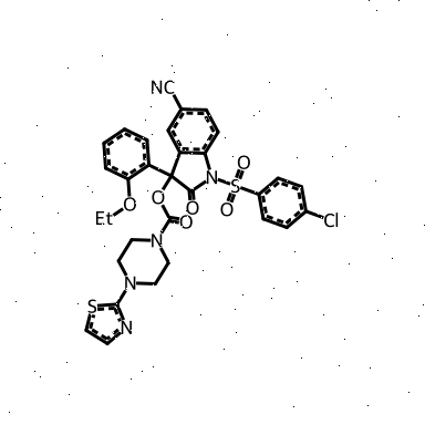 CCOc1ccccc1C1(OC(=O)N2CCN(c3nccs3)CC2)C(=O)N(S(=O)(=O)c2ccc(Cl)cc2)c2ccc(C#N)cc21